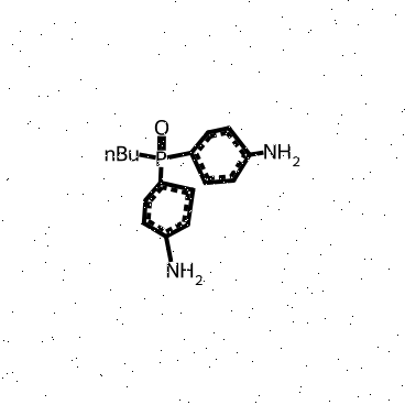 CCCCP(=O)(c1ccc(N)cc1)c1ccc(N)cc1